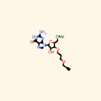 C#CCOCCCOC1C(COC)OC(n2cnc3c(=O)[nH]c(N)nc32)C1O